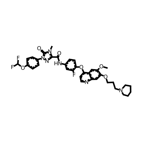 COc1cc2c(Oc3ccc(NC(=O)c4nn(-c5ccc(OC(F)F)cc5)c(=O)n4C)cc3F)ccnc2cc1OCCCN1CCCCC1